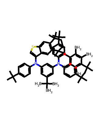 Bc1c(B)c(C(C)(C)C)c(B)c(B)c1-c1cc(C(C)(C)C)ccc1N(c1ccc(C(C)(C)C)cc1)c1cc(N(c2ccc(C(C)(C)C)cc2)c2csc3cc4c(cc23)C(C)(C)CCC4(C)C)cc(C(B)(B)B)c1